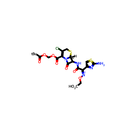 CC(C)(C)C(=O)OCOC(=O)C1=C(Cl)CS[C@@H]2C(NC(=O)/C(=N\OCC(=O)O)c3csc(N)n3)C(=O)N12